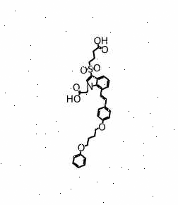 O=C(O)CCCS(=O)(=O)c1cn(CC(=O)O)c2c(/C=C/c3ccc(OCCCCOc4ccccc4)cc3)cccc12